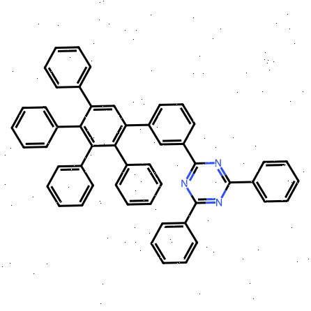 c1ccc(-c2nc(-c3ccccc3)nc(-c3cccc(-c4cc(-c5ccccc5)c(-c5ccccc5)c(-c5ccccc5)c4-c4ccccc4)c3)n2)cc1